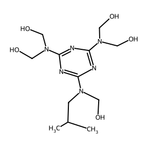 CC(C)CN(CO)c1nc(N(CO)CO)nc(N(CO)CO)n1